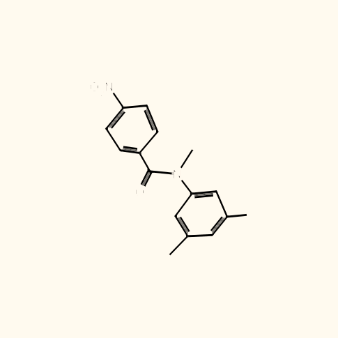 Cc1cc(C)cc(N(C)C(=O)c2ccc([N+](=O)[O-])cc2)c1